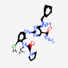 CN(C(=O)N1CCCC1)c1cc(Nc2ncc(C(N)=O)c(NCc3ccccc3)n2)ccc1Cl